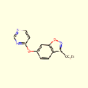 CCOC(=O)c1noc2cc(Oc3ccncn3)ccc12